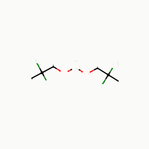 CC(Cl)(Cl)CO[SiH2]OCC(C)(Cl)Cl